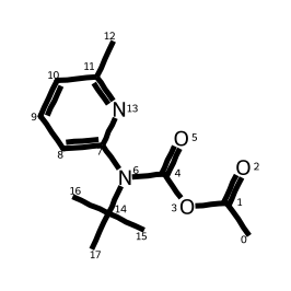 CC(=O)OC(=O)N(c1cccc(C)n1)C(C)(C)C